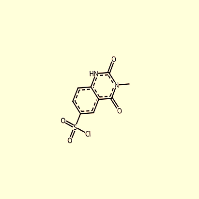 Cn1c(=O)[nH]c2ccc(S(=O)(=O)Cl)cc2c1=O